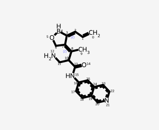 C=C/C=C1/BOC/C1=C(/C)C(CN)C(=O)Nc1ccc2cnccc2c1